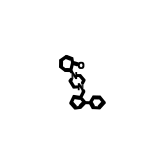 O=c1cccccc1N1CCN(Cc2ccccc2-c2ccccc2)CC1